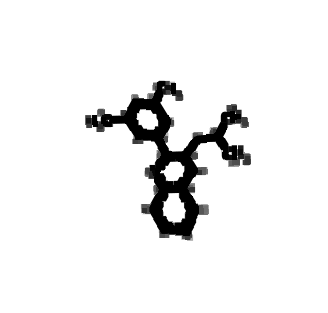 Cc1cc(C)cc(-c2nc3ccccc3cc2CC(C)C)c1